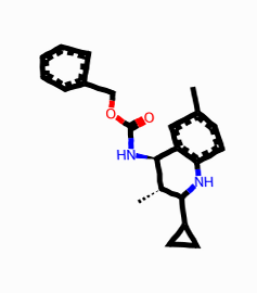 Cc1ccc2c(c1)[C@H](NC(=O)OCc1ccccc1)[C@@H](C)C(C1CC1)N2